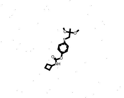 COC(C)(CSc1ccc(OC(=O)NC2CCC2)cc1)OC